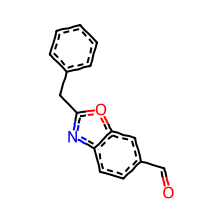 O=Cc1ccc2nc(Cc3ccccc3)oc2c1